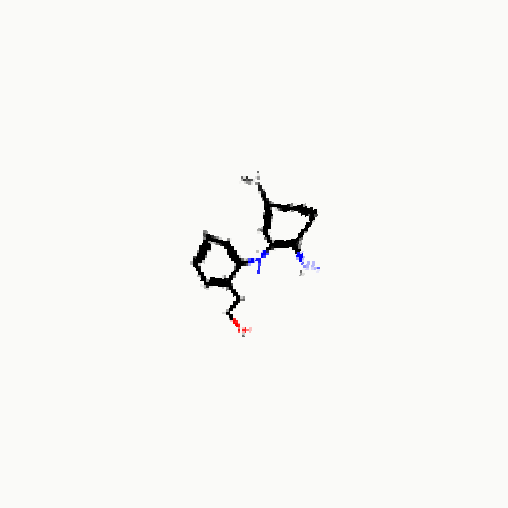 COc1ccc(N)c(Nc2ccccc2CCO)c1